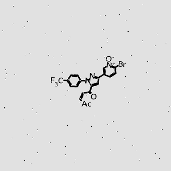 CC(=O)/C=C\C(=O)c1cc(-c2ccc(Br)[n+]([O-])c2)nn1-c1ccc(C(F)(F)F)cc1